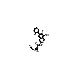 Cc1ccncc1-c1cc2cc(NC(=O)[C@H]3[C@@H](C)[C@@H]3CC#N)ncc2c(N)c1F